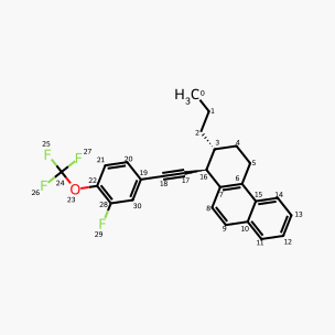 CCC[C@@H]1CCc2c(ccc3ccccc23)[C@H]1C#Cc1ccc(OC(F)(F)F)c(F)c1